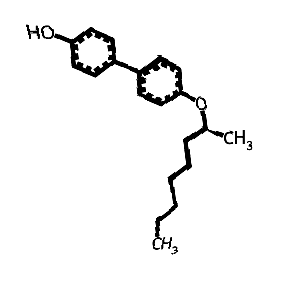 CCCCCC[C@H](C)Oc1ccc(-c2ccc(O)cc2)cc1